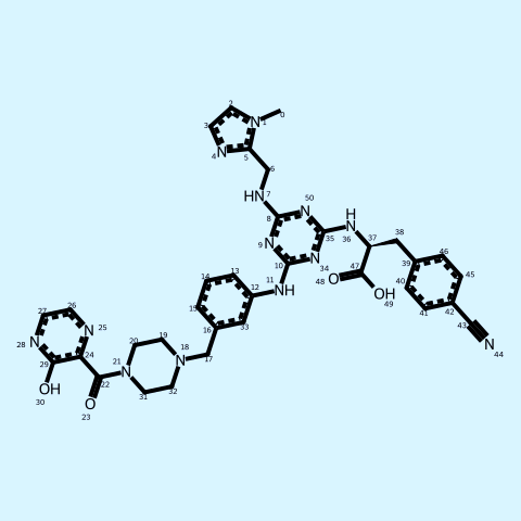 Cn1ccnc1CNc1nc(Nc2cccc(CN3CCN(C(=O)c4nccnc4O)CC3)c2)nc(N[C@@H](Cc2ccc(C#N)cc2)C(=O)O)n1